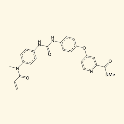 C=CC(=O)N(C)c1ccc(NC(=O)Nc2ccc(Oc3ccnc(C(=O)NC)c3)cc2)cc1